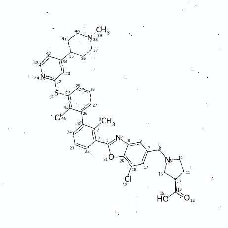 Cc1c(-c2nc3cc(CN4CC[C@@H](C(=O)O)C4)cc(Cl)c3o2)cccc1-c1cccc(Sc2cc(C3CCN(C)CC3)ccn2)c1Cl